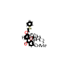 COc1ccc(C(=O)c2ccc(OCCSc3ccccc3)cc2)c(OC(C)(C)C(=O)O)c1